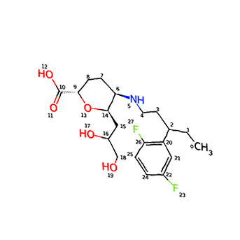 CCC(CCN[C@@H]1CC[C@@H](C(=O)O)O[C@@H]1CC(O)CO)c1cc(F)ccc1F